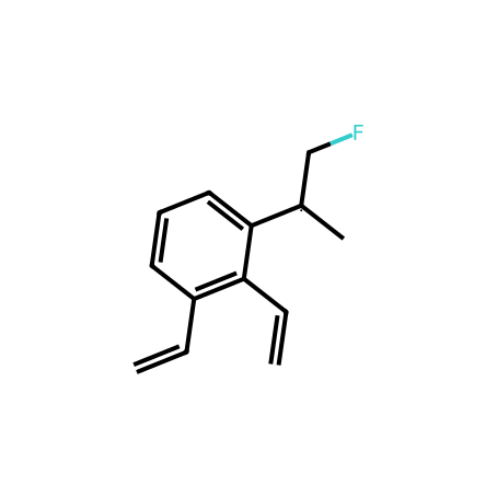 C=Cc1cccc([C](C)CF)c1C=C